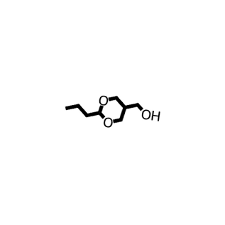 CCCC1OCC(CO)CO1